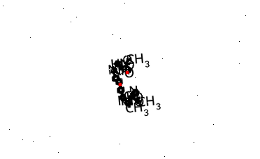 COC(=O)NC(C(=O)N1CC(C)C[C@H]1c1ncc(-c2ccc(-c3ccc4cc(-c5cnc([C@@H]6CCCN6C(=O)[C@@H](NC(=O)OC)C6CCOCC6)[nH]5)ccc4c3)cc2)[nH]1)c1cccnc1